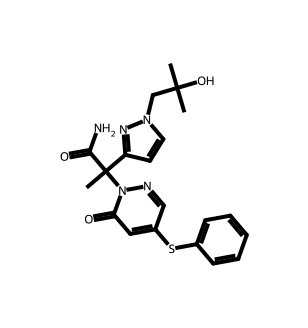 CC(C)(O)Cn1ccc(C(C)(C(N)=O)n2ncc(Sc3ccccc3)cc2=O)n1